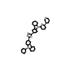 c1ccc(-n2c3ccccc3c3cc(-c4nnc(-c5ccc6c(c5)c5ccccc5n6-c5cccc(-c6cccnc6)n5)o4)ccc32)cc1